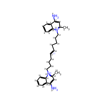 Cc1cc(N)c2ccccc2[n+]1CCCC/C=C/CCCC[n+]1c(C)cc(N)c2ccccc21